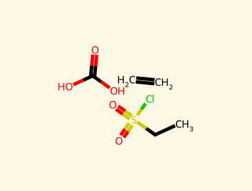 C=C.CCS(=O)(=O)Cl.O=C(O)O